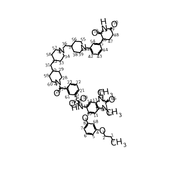 CCCOc1cccc(Oc2cc3c(cc2NS(=O)(=O)c2cccc(C(=O)N4CCC(CC5CCN(CC6CCN(c7cccc(C8CCC(=O)NC8=O)c7)CC6)CC5)CC4)c2)n(C)c(=O)n3C)c1